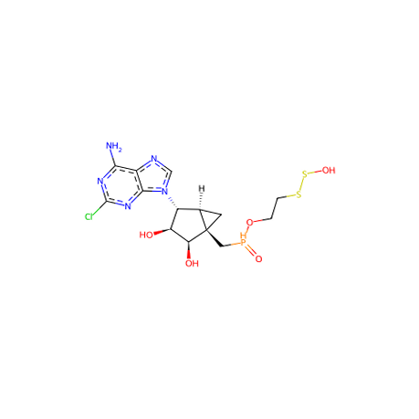 Nc1nc(Cl)nc2c1ncn2[C@H]1[C@H](O)[C@H](O)[C@@]2(C[PH](=O)OCCSSO)C[C@H]12